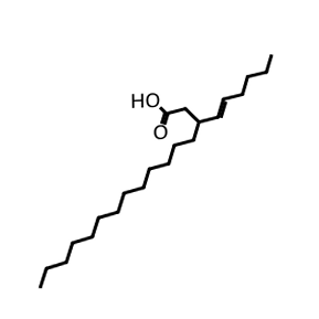 CCCCC=CC(CCCCCCCCCCCCC)CC(=O)O